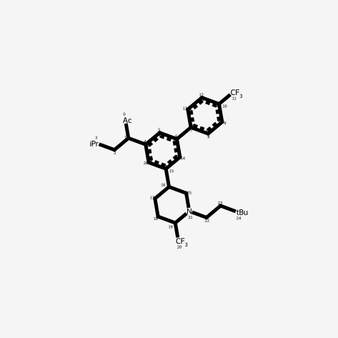 CC(=O)C(CC(C)C)c1cc(-c2ccc(C(F)(F)F)cc2)cc(C2CCC(C(F)(F)F)N(CCC(C)(C)C)C2)c1